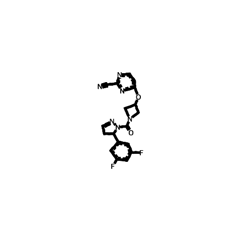 N#Cc1nccc(OC2CN(C(=O)N3N=CCC3c3cc(F)cc(F)c3)C2)n1